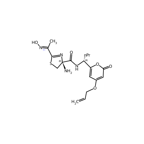 C=CCOc1cc([C@@H](CCC)NC(=O)[C@]2(N)CSC(/C(C)=N/O)=N2)oc(=O)c1